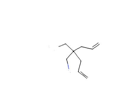 C=CCC(CN)(CC=C)CC(=O)O